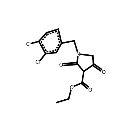 CCOC(=O)C1C(=O)CN(Cc2ccc(Cl)c(Cl)c2)C1=O